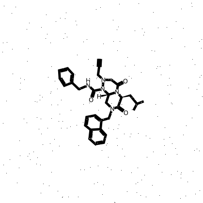 C#CCN1CC(=O)N2[C@@H](CC(C)C)C(=O)N(Cc3cccc4ccccc34)C[C@@H]2N1C(=O)NCc1ccccc1